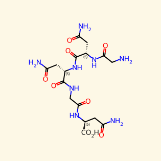 NCC(=O)N[C@@H](CC(N)=O)C(=O)N[C@@H](CC(N)=O)C(=O)NCC(=O)N[C@@H](CC(N)=O)C(=O)O